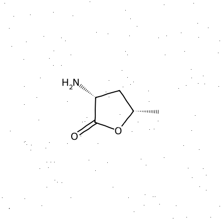 C[C@H]1C[C@@H](N)C(=O)O1